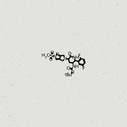 CC(C)(C)OC(=O)N[C@H]1CC(N2Cc3cn(S(C)(=O)=O)nc3C2)C(=O)NC1c1cc(F)ccc1F